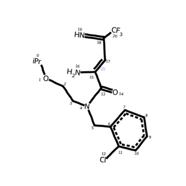 CC(C)OCCN(Cc1ccccc1Cl)C(=O)/C(N)=C/C(=N)C(F)(F)F